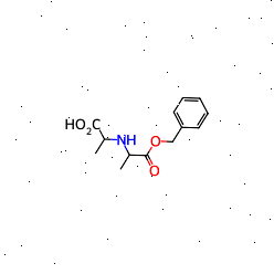 CC(NC(C)C(=O)OCc1ccccc1)C(=O)O